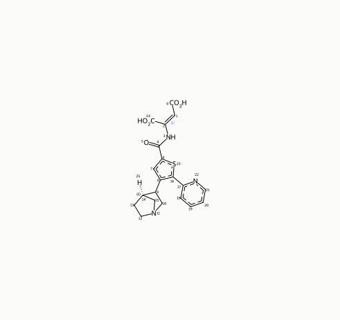 O=C(O)/C=C(/NC(=O)c1cc(C2CN3CC[C@@H]2C3)c(-c2ccccn2)s1)C(=O)O